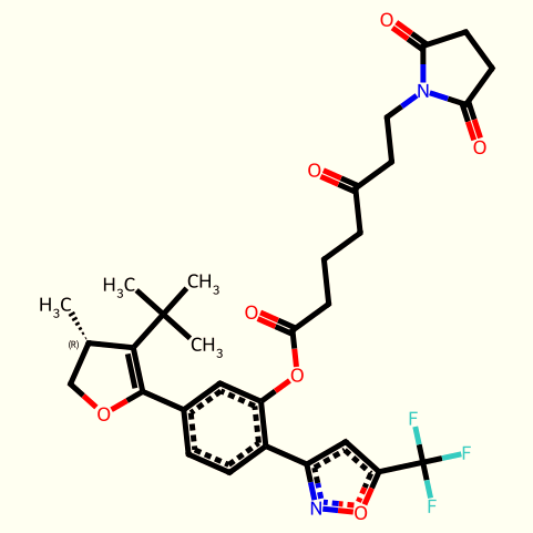 C[C@H]1COC(c2ccc(-c3cc(C(F)(F)F)on3)c(OC(=O)CCCC(=O)CCN3C(=O)CCC3=O)c2)=C1C(C)(C)C